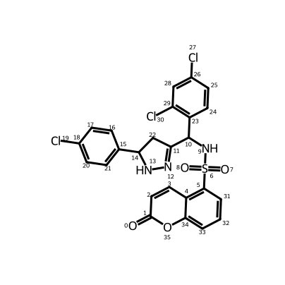 O=c1ccc2c(S(=O)(=O)NC(C3=NNC(c4ccc(Cl)cc4)C3)c3ccc(Cl)cc3Cl)cccc2o1